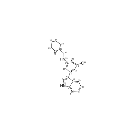 Clc1cc(-c2c[nH]c3ncccc23)cc(NCC2CCCCO2)n1